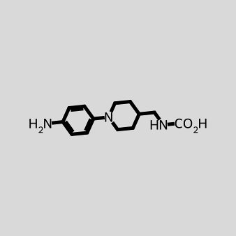 Nc1ccc(N2CCC(CNC(=O)O)CC2)cc1